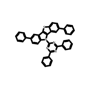 c1ccc(-c2ccc3c(c2)c2sc4ccc(-c5ccccc5)cc4c2n3-c2nc(-c3ccccc3)nc(-c3ccccc3)n2)cc1